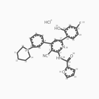 Cl.N#Cc1c(-c2cccc(N3CCCCC3)c2)cc(-c2ccc(F)cc2O)nc1NC(=O)c1ccco1